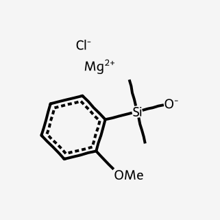 COc1ccccc1[Si](C)(C)[O-].[Cl-].[Mg+2]